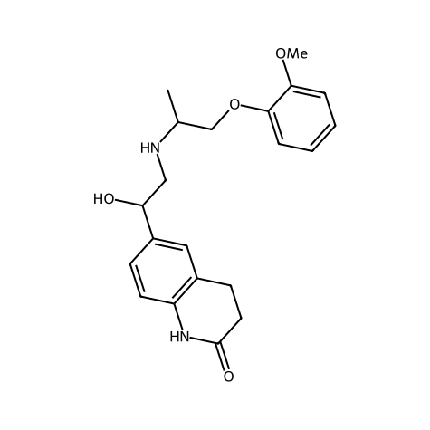 COc1ccccc1OCC(C)NCC(O)c1ccc2c(c1)CCC(=O)N2